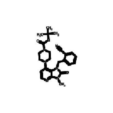 Cn1c(=O)n(Cc2ccccc2C#N)c2c(N3CCN(C(=O)OC(C)(C)C)CC3)ccnc21